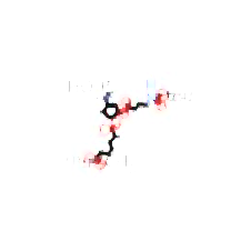 CC(CCCC(=O)Oc1ccc(/C=C/C(=O)O)cc1OC(=O)CCCNC(=O)OC(C)(C)C)CC(=O)OC(C)(C)C